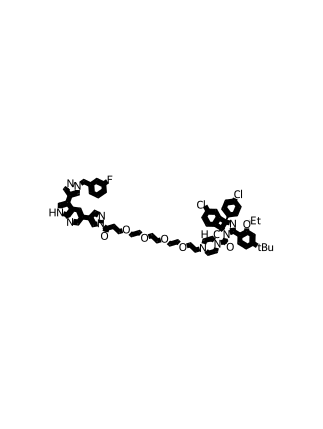 CCOc1cc(C(C)(C)C)ccc1C1=N[C@@]2(c3ccc(Cl)cc3)c3cc(Cl)ccc3[C@]2(C)N1C(=O)N1CCN(CCOCCOCCOCCOCCC(=O)n2cc(-c3cnc4[nH]cc(-c5cnn(Cc6cccc(F)c6)c5)c4c3)cn2)CC1